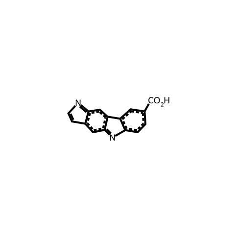 O=C(O)c1ccc2c(c1)-c1cc3c(cc1=N2)C=CN=3